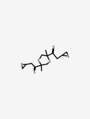 CC1(C(=S)CC2CS2)CSC(C)(C(=S)CC2CS2)CS1